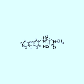 CN1CC(C(=O)NCc2ccc(Oc3cccnc3)cc2)=C(O)C1=O